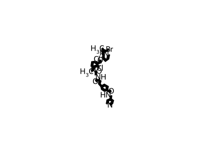 Cc1nc2c(OCc3c(Cl)ccc(N(C)C(=O)CNC(=O)C=Cc4ccc(C(=O)NCc5ccncc5)cc4)c3Cl)cccn2c1Br